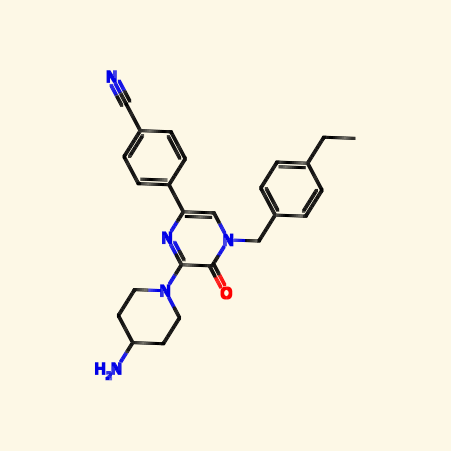 CCc1ccc(Cn2cc(-c3ccc(C#N)cc3)nc(N3CCC(N)CC3)c2=O)cc1